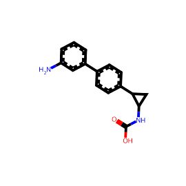 Nc1cccc(-c2ccc(C3CC3NC(=O)O)cc2)c1